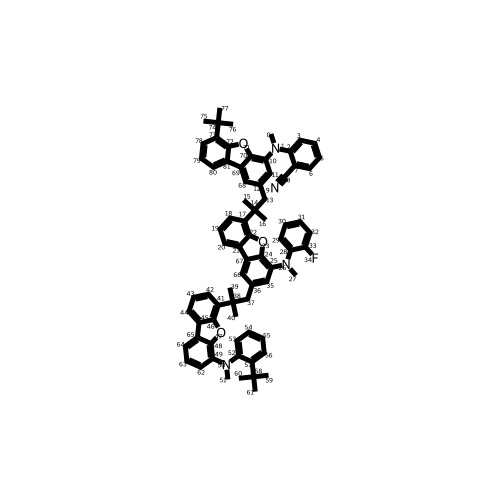 CN(c1ccccc1C#N)c1cc(CC(C)(C)c2cccc3c2oc2c(N(C)c4ccccc4F)cc(CC(C)(C)c4cccc5c4oc4c(N(C)c6ccccc6C(C)(C)C)cccc45)cc23)cc2c1oc1c(C(C)(C)C)cccc12